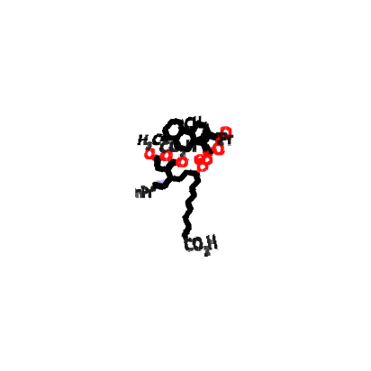 CCC/C=C/C(CCC(CCCCCCCCC(=O)O)OOCC1C(C(C)C)C2CC3C4(C)CCCC(C)(C(=O)O)C4CCC13C1C(=O)OC(=O)C21)C1CC(=O)OC1=O